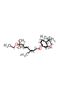 CCOC(C)(C)CC=CC(C)=CCOc1ccc2c(c1)OCC2(C)C